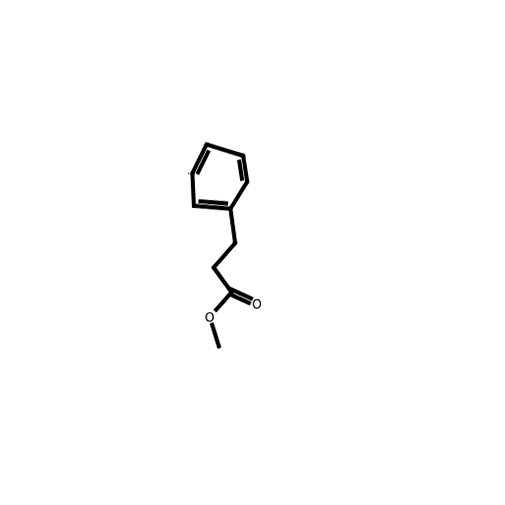 COC(=O)CCc1c[c]ccc1